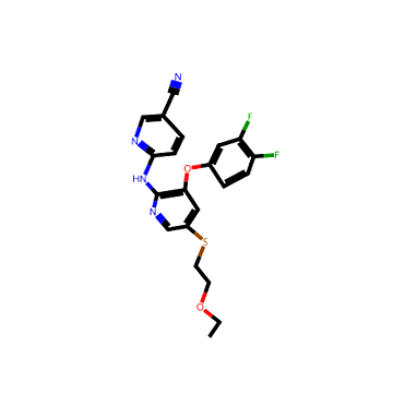 CCOCCSc1cnc(Nc2ccc(C#N)cn2)c(Oc2ccc(F)c(F)c2)c1